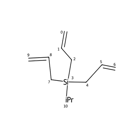 C=CC[Si](CC=C)(CC=C)C(C)C